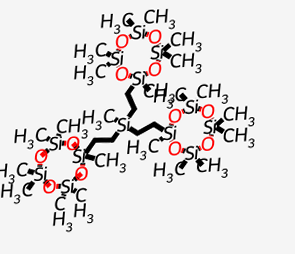 C[Si](CC[Si]1(C)O[Si](C)(C)O[Si](C)(C)O[Si](C)(C)O1)(CC[Si]1(C)O[Si](C)(C)O[Si](C)(C)O[Si](C)(C)O1)CC[Si]1(C)O[Si](C)(C)O[Si](C)(C)O[Si](C)(C)O1